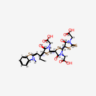 CC/C(C=C1Sc2ccccc2N1C)=c1\s/c(=c2/s/c(=C3/SC(=S)N(CC(=O)O)C3=O)n(CC(=O)O)c2=O)n(CC(=O)O)c1=O